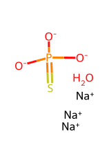 O.[Na+].[Na+].[Na+].[O-]P([O-])([O-])=S